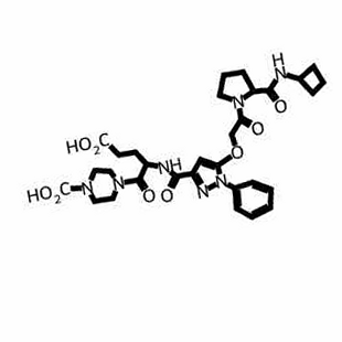 O=C(O)CCC(NC(=O)c1cc(OCC(=O)N2CCCC2C(=O)NC2CCC2)n(-c2ccccc2)n1)C(=O)N1CCN(C(=O)O)CC1